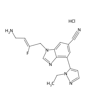 CCn1nccc1-c1cc(C#N)cc2c1ncn2CC(F)=CCN.Cl